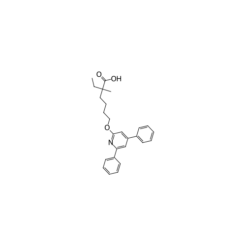 CCC(C)(CCCCOc1cc(-c2ccccc2)cc(-c2ccccc2)n1)C(=O)O